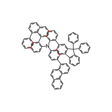 c1ccc(-c2cccc3cccc(-c4ccccc4N(c4ccc(-c5cccc6c5ccc5ccccc56)cc4)c4ccccc4-c4ccc5c(c4)C(c4ccccc4)(c4ccccc4)c4ccccc4-5)c23)cc1